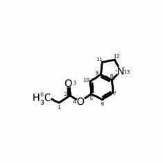 CCC(=O)Oc1ccc2c(c1)CC[N]2